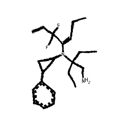 CC/C=C(/N(C1CC1c1ccccc1)C(CC)(CC)CN)C(F)(F)CC